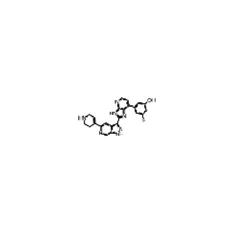 Oc1cc(F)cc(-c2ccnc3[nH]c(-c4n[nH]c5cnc(C6=CCNCC6)cc45)nc23)c1